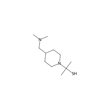 CN(C)CC1CCN(C(C)(C)S)CC1